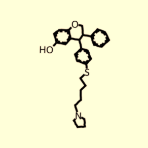 Oc1ccc2c(c1)C(c1ccc(SCCCCCN3CCCC3)cc1)C(c1ccccc1)CO2